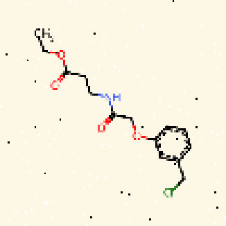 CCOC(=O)CCNC(=O)COc1cccc(CCl)c1